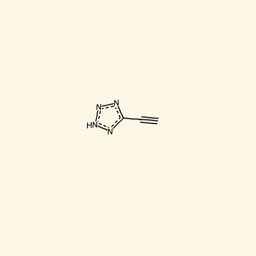 C#Cc1nn[nH]n1